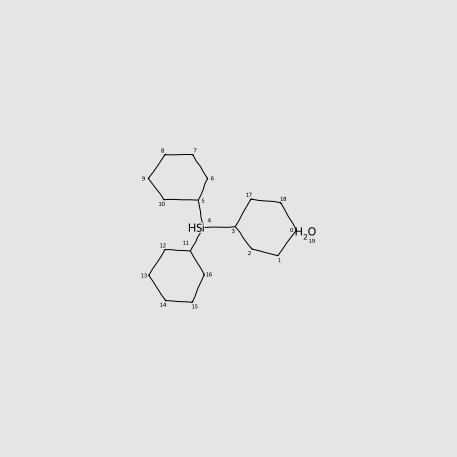 C1CCC([SiH](C2CCCCC2)C2CCCCC2)CC1.O